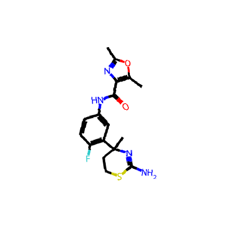 Cc1nc(C(=O)Nc2ccc(F)c(C3(C)CCSC(N)=N3)c2)c(C)o1